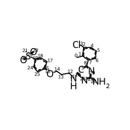 Cc1c(Cl)cccc1-c1cc(NCCCOc2ccc(S(C)(=O)=O)cc2)nc(N)n1